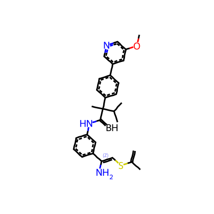 B=C(Nc1cccc(/C(N)=C/SC(=C)C)c1)C(C)(c1ccc(-c2cncc(OC)c2)cc1)C(C)C